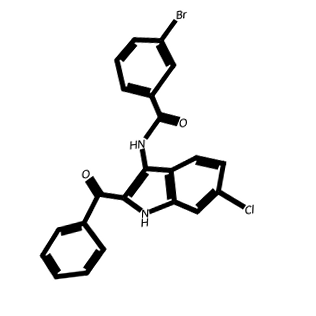 O=C(Nc1c(C(=O)c2ccccc2)[nH]c2cc(Cl)ccc12)c1cccc(Br)c1